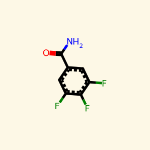 NC(=O)c1cc(F)c(F)c(F)c1